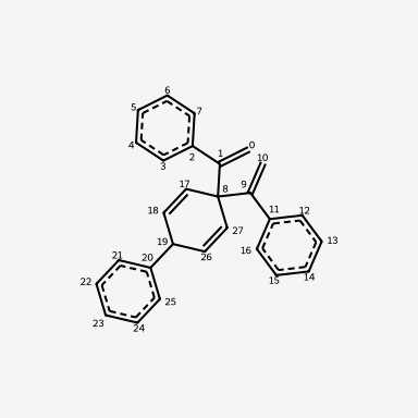 C=C(c1ccccc1)C1(C(=C)c2ccccc2)C=CC(c2ccccc2)C=C1